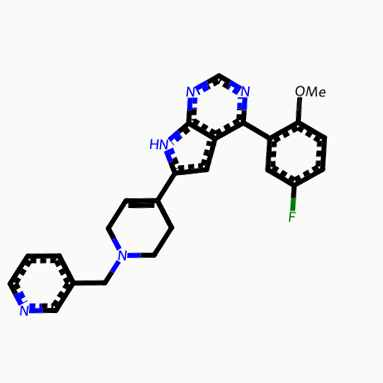 COc1ccc(F)cc1-c1ncnc2[nH]c(C3=CCN(Cc4cccnc4)CC3)cc12